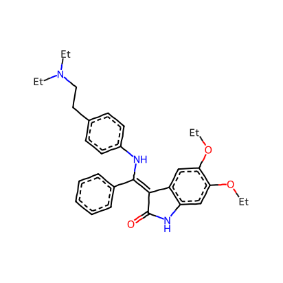 CCOc1cc2c(cc1OCC)C(=C(Nc1ccc(CCN(CC)CC)cc1)c1ccccc1)C(=O)N2